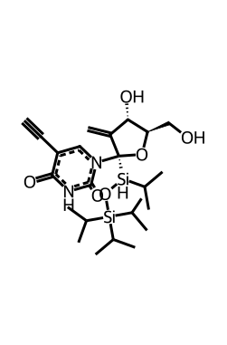 C#Cc1cn([C@]2([SiH](O[Si](C(C)C)(C(C)C)C(C)C)C(C)C)O[C@H](CO)[C@@H](O)C2=C)c(=O)[nH]c1=O